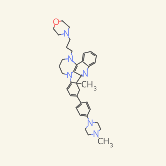 CN1CCN(c2ccc(C3=CC=C4N5CCCN(CCCN6CCOCC6)c6c5c(nc5ccccc65)C4(C)C3)cc2)CC1